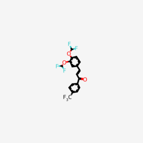 O=C(/C=C/c1ccc(OC(F)F)c(OC(F)F)c1)c1ccc(C(F)(F)F)cc1